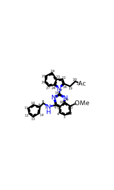 COc1cccc2c(NCc3ccccc3)nc(-n3c(CCC(C)=O)cc4ccccc43)nc12